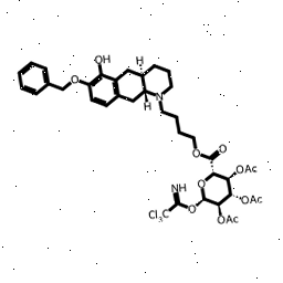 CC(=O)O[C@@H]1[C@@H](OC(C)=O)[C@@H](OC(=N)C(Cl)(Cl)Cl)O[C@H](C(=O)OCCCCN2CCC[C@@H]3Cc4c(ccc(OCc5ccccc5)c4O)C[C@H]32)[C@H]1OC(C)=O